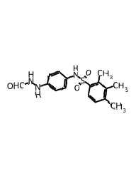 Cc1ccc(S(=O)(=O)Nc2ccc(NNC=O)cc2)c(C)c1C